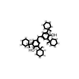 CC1(c2cc(Cc3cc(C4(C)CCCCC4)c(O)c(C4(C)CCCCC4)c3)cc(C3(C)CCCCC3)c2O)CCCCC1